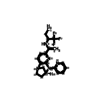 C=C(NC(CC)C(F)(F)F)c1ccc2c(n1)N(c1ccccn1)[C@H]1CCN2C1